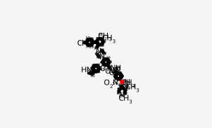 CN1CCC(CNc2ccc(S(=O)(=O)NC(=O)c3ccc(N4CCN(CC5=C(c6ccc(Cl)cc6)CC(C)(C)CC5)CC4)cc3Oc3ccc4[nH]ccc4c3)cc2[N+](=O)[O-])(N(C)C)CC1